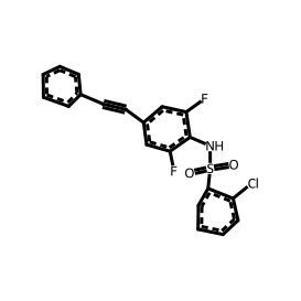 O=S(=O)(Nc1c(F)cc(C#Cc2ccccc2)cc1F)c1ccccc1Cl